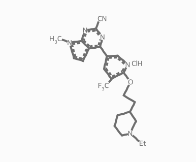 CCN1CCCC(CCOc2ncc(-c3nc(C#N)nc4c3ccn4C)cc2C(F)(F)F)C1.Cl